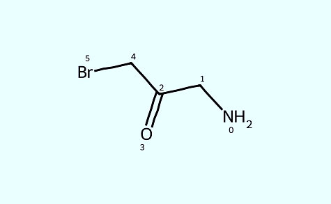 NCC(=O)CBr